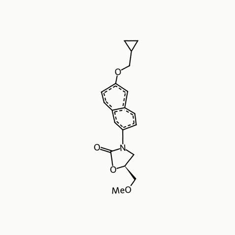 COC[C@@H]1CN(c2ccc3cc(OCC4CC4)ccc3c2)C(=O)O1